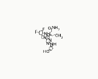 CCC[C@H](CCC(N)=O)n1c(Nc2c(F)cc(F)cc2Cl)nc2cnc(N[C@H]3CC[C@H](O)C3)nc21